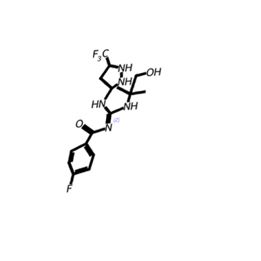 CC(C)(CO)N/C(=N/C(=O)c1ccc(F)cc1)NC1CC(C(F)(F)F)NN1